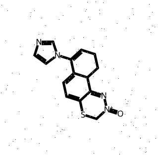 O=[N+]1CSC2=CC=C3C(n4ccnc4)=CCCC3C2=N1